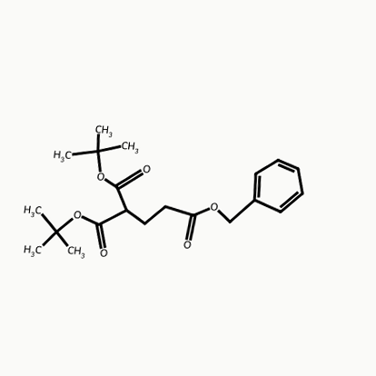 CC(C)(C)OC(=O)C(CCC(=O)OCc1ccccc1)C(=O)OC(C)(C)C